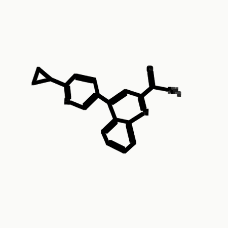 NC(=O)c1cc(-c2ccc(C3CC3)nc2)c2ccccc2n1